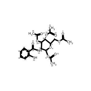 CC(=O)OCC1OC(OC(C)=O)C(NC(=O)c2ccccc2S)C(OC(C)=O)[C@@H]1OC(C)=O